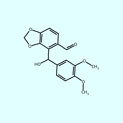 COc1ccc(C(O)c2c(C=O)ccc3c2OCO3)cc1OC